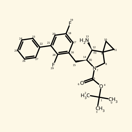 CC(C)(C)OC(=O)N1CC2(CC2)[C@H](N)[C@@H]1Cc1cc(F)cc(-c2ccccc2)c1F